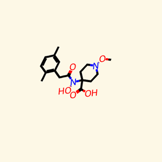 CON1CCC(C(=O)O)(N(O)C(=O)Cc2cc(C)ccc2C)CC1